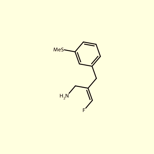 CSc1cccc(CC(=CF)CN)c1